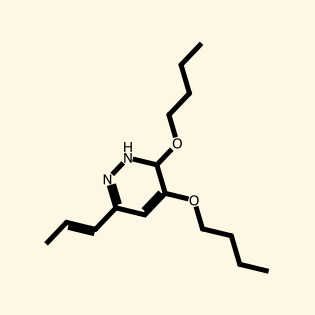 C/C=C/C1=NNC(OCCCC)C(OCCCC)=C1